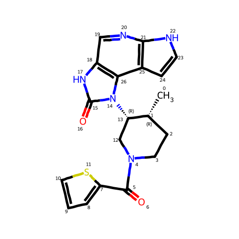 C[C@@H]1CCN(C(=O)c2cccs2)C[C@@H]1n1c(=O)[nH]c2cnc3[nH]ccc3c21